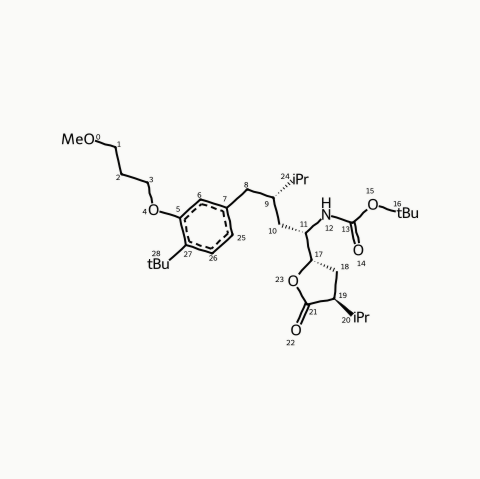 COCCCOc1cc(C[C@@H](C[C@H](NC(=O)OC(C)(C)C)[C@@H]2C[C@@H](C(C)C)C(=O)O2)C(C)C)ccc1C(C)(C)C